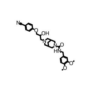 COc1ccc(CNC(=O)N2CC3CC(CN(CC(O)COc4ccc(C#N)cc4)C3)C2)cc1OC